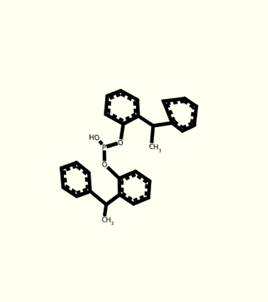 CC(c1ccccc1)c1ccccc1OP(O)Oc1ccccc1C(C)c1ccccc1